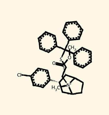 COC(=O)[C@@H]1C2CCC(C[C@@H]1c1ccc(Cl)cc1)[N+]2(C)CCSC(c1ccccc1)(c1ccccc1)c1ccccc1